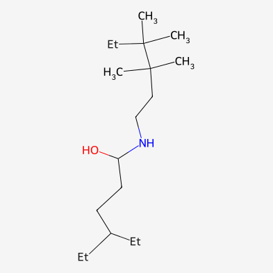 CCC(CC)CCC(O)NCCC(C)(C)C(C)(C)CC